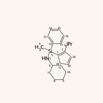 CC(C)C1=C([Si](C)(NC2CCCCC2)c2ccccc2)CC=C1